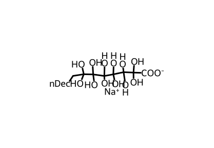 CCCCCCCCCCCC(O)(O)C(O)(O)C(O)(O)C(O)(O)C(O)(O)C(O)(O)C(=O)[O-].[Na+]